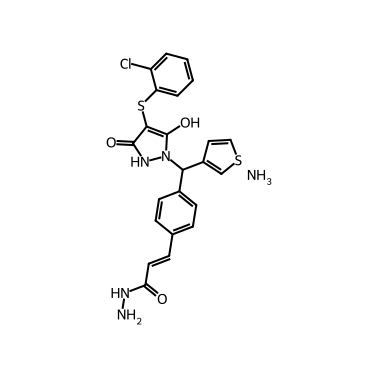 N.NNC(=O)/C=C/c1ccc(C(c2ccsc2)n2[nH]c(=O)c(Sc3ccccc3Cl)c2O)cc1